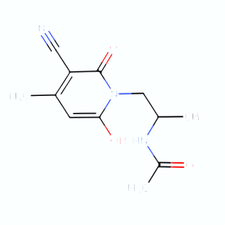 CC(=O)NC(C)Cn1c(O)cc(C)c(C#N)c1=O